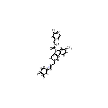 O=C(NCc1ccnc(F)c1)n1c2c(c3ccc(C(F)(F)F)cc31)CN(C/C=C/c1ccc(F)c(F)c1)CC2